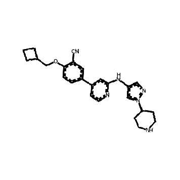 N#Cc1cc(-c2ccnc(Nc3cnn(C4CCNCC4)c3)c2)ccc1OCC1CCC1